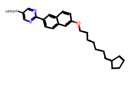 CCCCCCCc1cnc(-c2ccc3cc(OCCCCCCCC4CCCC4)ccc3c2)nc1